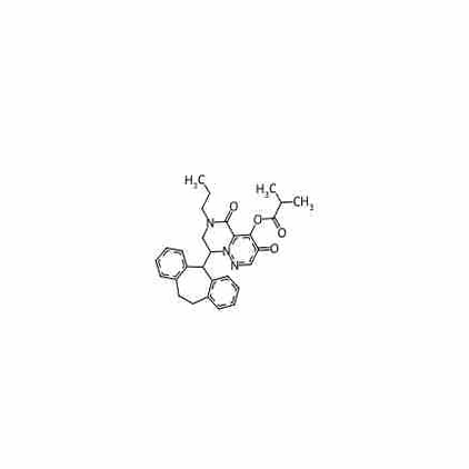 CCCN1CC(C2c3ccccc3CCc3ccccc32)n2ncc(=O)c(OC(=O)C(C)C)c2C1=O